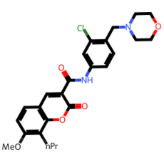 CCCc1c(OC)ccc2cc(C(=O)Nc3ccc(CN4CCOCC4)c(Cl)c3)c(=O)oc12